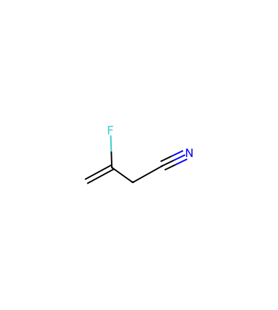 C=C(F)CC#N